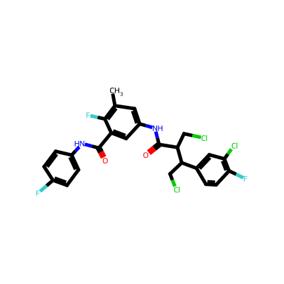 Cc1cc(NC(=O)C(CCl)C(CCl)c2ccc(F)c(Cl)c2)cc(C(=O)Nc2ccc(F)cc2)c1F